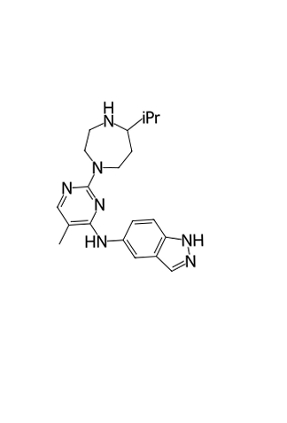 Cc1cnc(N2CCNC(C(C)C)CC2)nc1Nc1ccc2[nH]ncc2c1